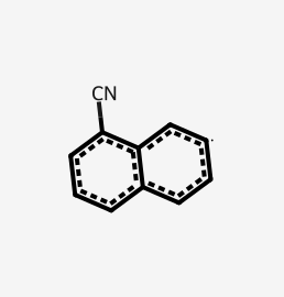 N#Cc1cccc2cc[c]cc12